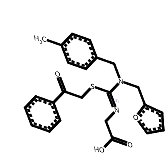 Cc1ccc(CN(Cc2ccco2)/C(=N/CC(=O)O)SCC(=O)c2ccccc2)cc1